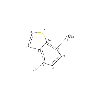 CC(C)(C)c1ccc(F)c2ccsc12